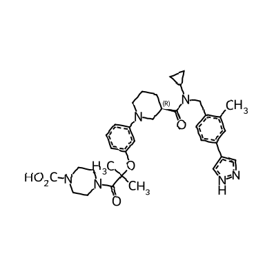 Cc1cc(-c2cn[nH]c2)ccc1CN(C(=O)[C@@H]1CCCN(c2cccc(OC(C)(C)C(=O)N3CCN(C(=O)O)CC3)c2)C1)C1CC1